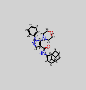 O=C(NC1CCC2CC3CC1(C2)C3)c1cnn(-c2ccccc2)c1N1CCOCC1